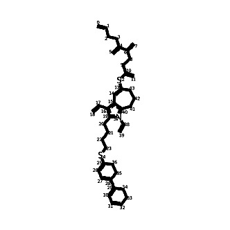 C=CCCC(=C)C(=C)CCC(=C)SC1=Cc2c(C=C)c(CCCCSC3=CC=C(C4=CC=CCC4)CC3)n(C=C)c2CCC1